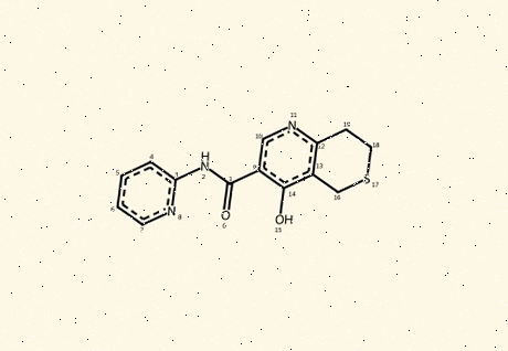 O=C(Nc1ccccn1)c1cnc2c(c1O)CSCC2